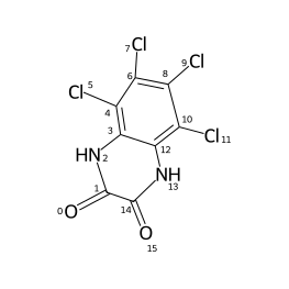 O=c1[nH]c2c(Cl)c(Cl)c(Cl)c(Cl)c2[nH]c1=O